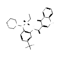 CCS(=O)(=O)N(c1ccc(C(F)(F)F)cc1NC(=O)c1c[nH]c2ccccc2c1=O)N1CCCCC1